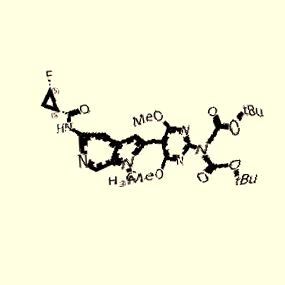 COc1nc(N(C(=O)OC(C)(C)C)C(=O)OC(C)(C)C)nc(OC)c1-c1cc2cc(NC(=O)[C@@H]3C[C@@H]3F)ncc2n1C